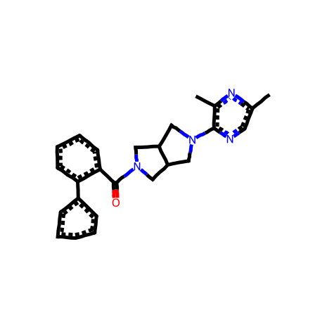 Cc1cnc(N2CC3CN(C(=O)c4ccccc4-c4ccccc4)CC3C2)c(C)n1